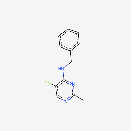 Cc1ncc(F)c(NCc2ccccc2)n1